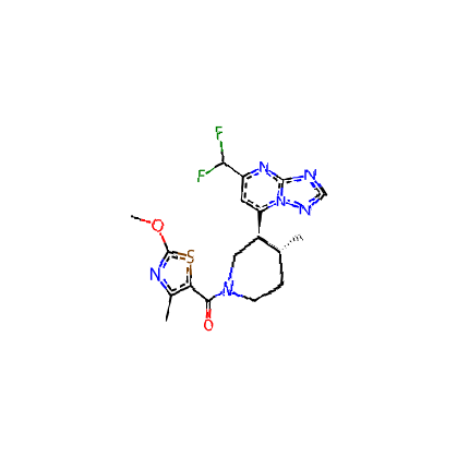 COc1nc(C)c(C(=O)N2CC[C@@H](C)[C@H](c3cc(C(F)F)nc4ncnn34)C2)s1